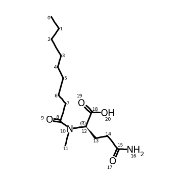 CCCCCCCCC(=O)N(C)[C@H](CCC(N)=O)C(=O)O